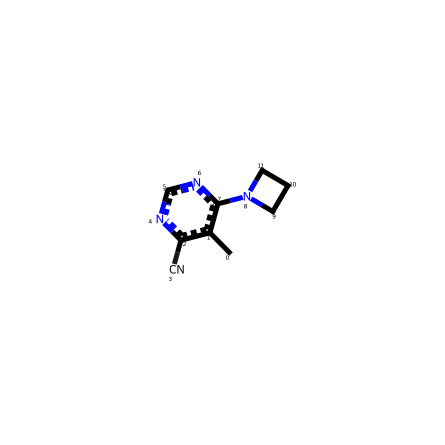 Cc1c(C#N)n[c]nc1N1CCC1